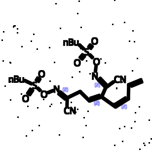 C=C\C=C/C(=C/C/C(C#N)=N/OS(=O)(=O)CCCC)C(/C#N)=N/OS(=O)(=O)CCCC